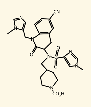 Cn1cnc(S(=O)(=O)N(CC2CCN(C(=O)O)CC2)C2Cc3cc(C#N)ccc3N(Cc3cncn3C)C2=O)c1